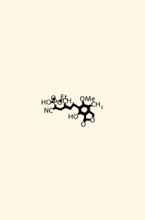 CCOP(=O)(O)C(C#N)C/C(C)=C/Cc1c(O)c2c(c(C)c1OC)COC2=O